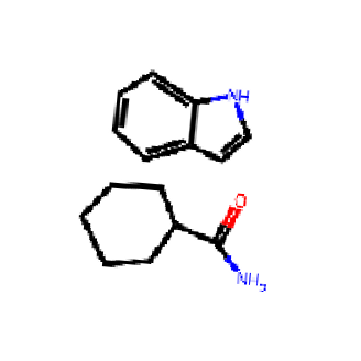 NC(=O)C1CCCCC1.c1ccc2[nH]ccc2c1